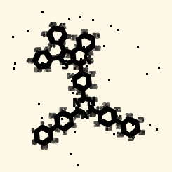 c1ccc(-c2ccc(-c3nc(-c4ccc(-c5ccccc5)cc4)nc(-c4ccc(-c5nc6ccccc6c6c(-c7ccccc7)c(-c7ccccc7)sc56)cc4)n3)cc2)cc1